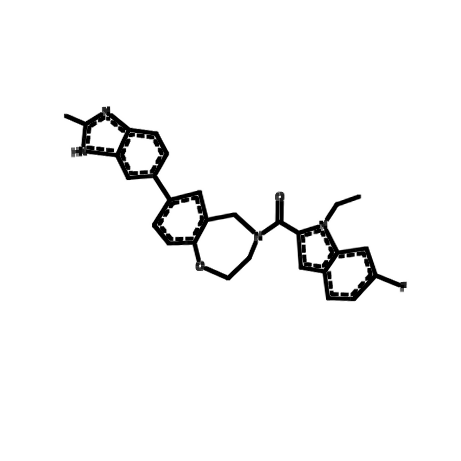 CCn1c(C(=O)N2CCOc3ccc(-c4ccc5nc(C)[nH]c5c4)cc3C2)cc2ccc(F)cc21